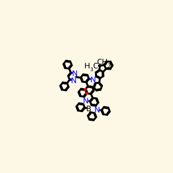 CC1(C)c2ccccc2-c2cc3c4ccccc4n(-c4ccc(-c5nc(-c6ccccc6)cc(-c6ccccc6)n5)cc4-c4ccc(-c5ccc6c7c5N(c5ccccc5)c5ccccc5B7c5ccccc5N6c5ccccc5)cc4)c3cc21